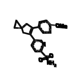 COc1ccc(C2=C(c3ccc(S(N)(=O)=O)nc3)CC3(CC3)C2)cc1